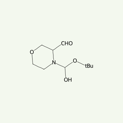 CC(C)(C)OC(O)N1CCOCC1C=O